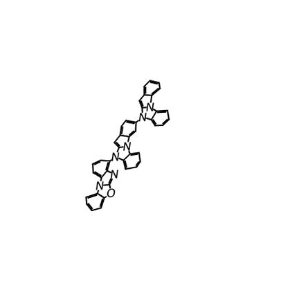 c1ccc2c(c1)cc1n(-c3ccc4cc5n(-c6cccc7c6nc6oc8ccccc8n67)c6ccccc6n5c4c3)c3ccccc3n21